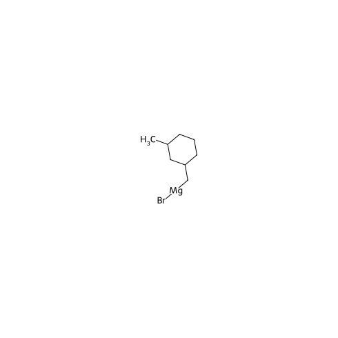 CC1CCCC([CH2][Mg][Br])C1